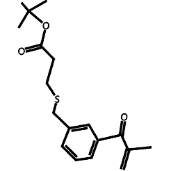 C=C(C)C(=O)c1cccc(CSCCC(=O)OC(C)(C)C)c1